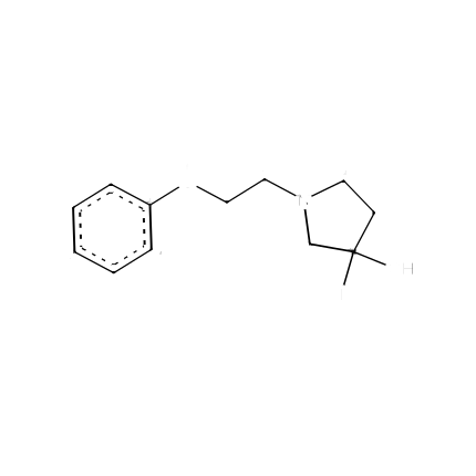 OC1(I)CCN(CCOc2ccccc2)C1